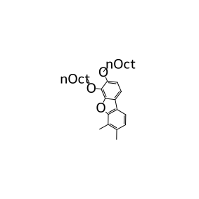 CCCCCCCCOc1ccc2c(oc3c(C)c(C)ccc32)c1OCCCCCCCC